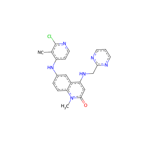 Cn1c(=O)cc(NCc2ncccn2)c2cc(Nc3ccnc(Cl)c3C#N)ccc21